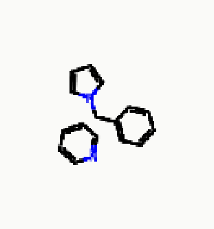 c1ccc(Cn2cccc2)cc1.c1ccncc1